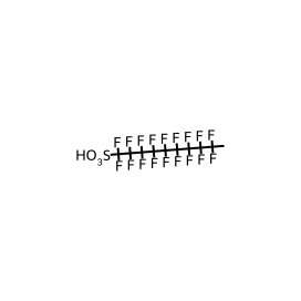 CC(F)(F)C(F)(F)C(F)(F)C(F)(F)C(F)(F)C(F)(F)C(F)(F)C(F)(F)C(F)(F)S(=O)(=O)O